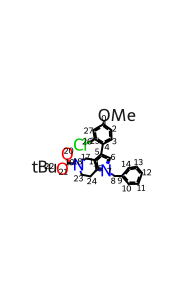 COc1ccc(-c2cn(Cc3ccccc3)c3c2CN(C(=O)OC(C)(C)C)CC3)c(Cl)c1